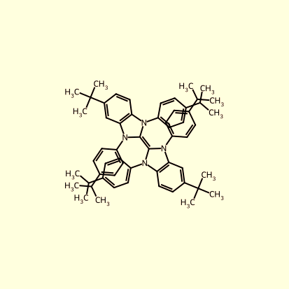 CC(C)c1ccc(N2/C(=C3/N(c4ccc(C(C)C)cc4)c4ccc(C(C)(C)C)cc4N3c3ccc(C(C)C)cc3)N(c3ccc(C(C)C)cc3)c3cc(C(C)(C)C)ccc32)cc1